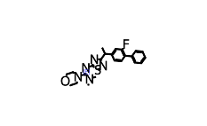 CC(c1ccc(-c2ccccc2)c(F)c1)c1nsc(/N=C(\N(C)C)N2CCOCC2)n1